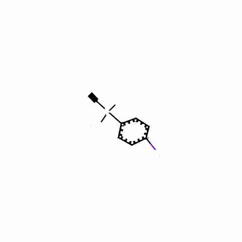 C#C[Si](C)(C)c1ccc(I)cc1